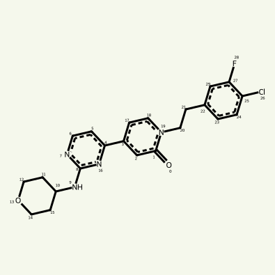 O=c1cc(-c2ccnc(NC3CCOCC3)n2)ccn1CCc1ccc(Cl)c(F)c1